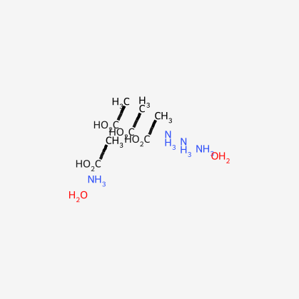 CC(=O)O.CC(=O)O.CC(=O)O.CC(=O)O.N.N.N.N.O.O